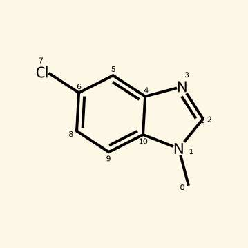 Cn1[c]nc2cc(Cl)ccc21